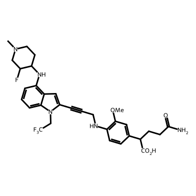 COc1cc(C(CCC(N)=O)C(=O)O)ccc1NCC#Cc1cc2c(NC3CCN(C)CC3F)cccc2n1CC(F)(F)F